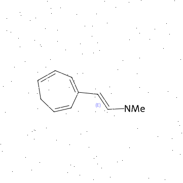 CN/C=C/C1=CC=CCC=C1